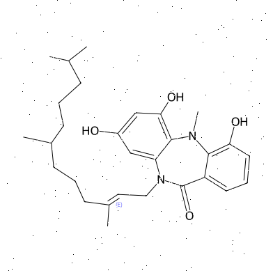 C/C(=C\CN1C(=O)c2cccc(O)c2N(C)c2c(O)cc(O)cc21)CCCC(C)CCCC(C)C